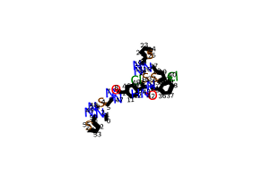 CCn1c(SCc2noc(-c3ccc(C4(CSc5nnc(-c6cccs6)n5Cc5cccs5)N=C(c5cccc(Cl)c5)ON4)c(Cl)c3)n2)nnc1-c1cccs1